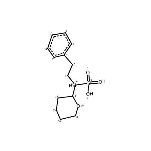 O=S(=O)(O)[SiH](CCc1ccccc1)C1CCCCO1